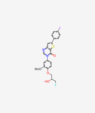 COc1cc(-n2cnc3cc(-c4ccc(I)cc4)sc3c2=O)ccc1OCC(O)CF